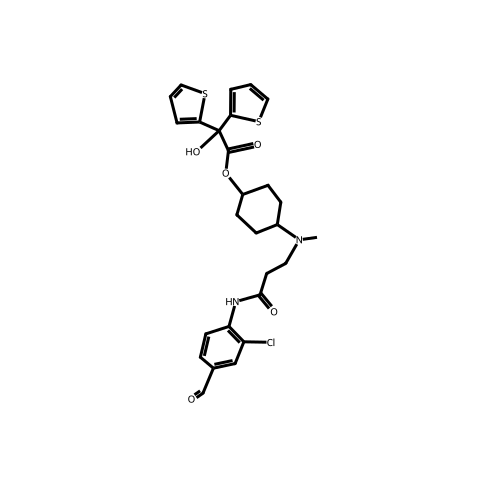 CN(CCC(=O)Nc1ccc(C=O)cc1Cl)C1CCC(OC(=O)C(O)(c2cccs2)c2cccs2)CC1